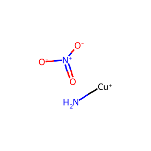 O=[N+]([O-])[O-].[NH2][Cu+]